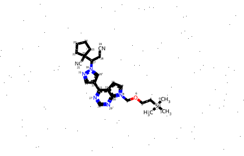 C[Si](C)(C)CCOCn1ccc2c(-c3cnn(C(CC#N)C4(C#N)CCCC4)c3)ncnc21